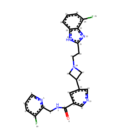 O=C(NCc1ncccc1F)c1cncc(C2CN(CCc3nc4c(F)cccc4[nH]3)C2)c1